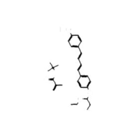 C=C(C)C(=O)OC(C)(C)C.CCOC(CC)Oc1ccc(C=CC=Cc2ccc(O)cc2)cc1